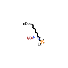 Br.CCCCCCCCCCCCCCCCCC[P+](C)(C)CC.N.[Br-]